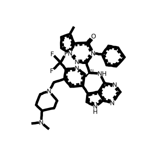 Cc1ccn2nc([C@H](C)Nc3ncnc4[nH]cc(-c5cnc(C(F)(F)F)c(CN6CCC(N(C)C)CC6)c5)c34)n(-c3ccccc3)c(=O)c12